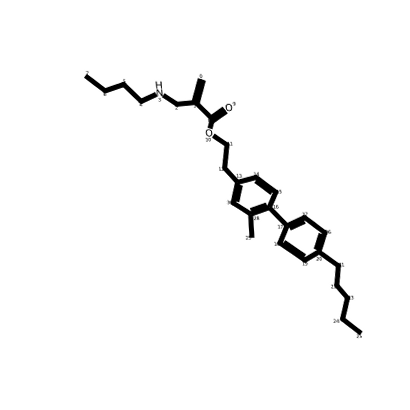 C=C(CNCCCC)C(=O)OCCc1ccc(-c2ccc(CCCCC)cc2)c(C)c1